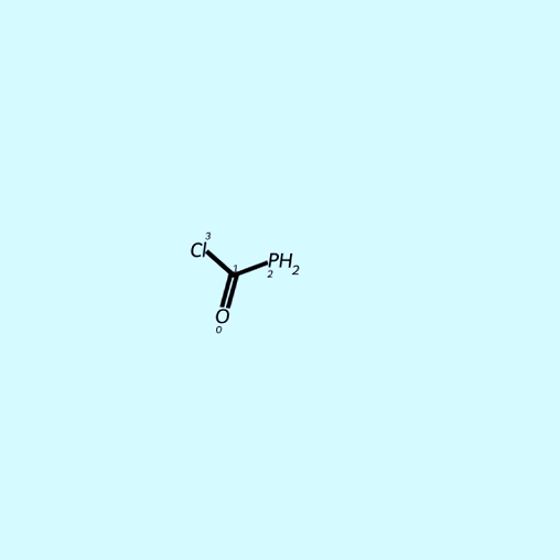 O=C(P)Cl